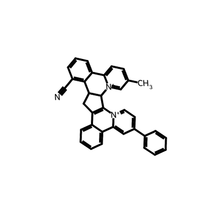 Cc1ccc2[n+](c1)C1c3c(c4ccccc4c4cc(-c5ccccc5)cc[n+]34)CC1c1c(C#N)cccc1-2